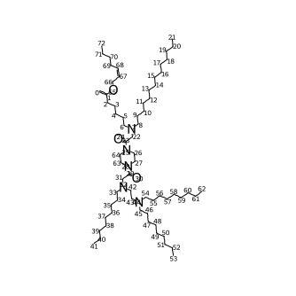 C=C(CCCCCN(CCCCCCCCCCCCCC)CC(=O)N1CCN(C(=O)CN(CCCCCCCCC)CCN(CCCCCCCCC)CCCCCCCCC)CC1)OC/C=C\CCCC